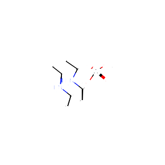 CC[NH2+]CC.CC[NH2+]CC.[O]=[W](=[O])([O-])[O-]